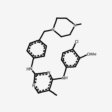 COc1cc(Nc2nc(Nc3ccc(CN4CCN(C)CC4)cc3)ncc2C)ccc1Cl